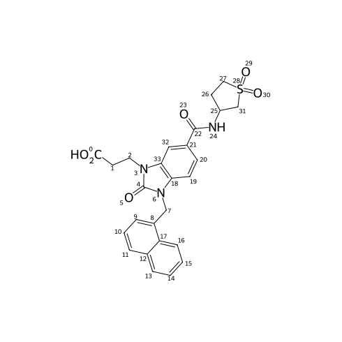 O=C(O)CCn1c(=O)n(Cc2cccc3ccccc23)c2ccc(C(=O)NC3CCS(=O)(=O)C3)cc21